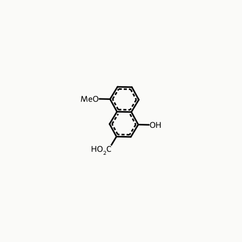 COc1cccc2c(O)cc(C(=O)O)cc12